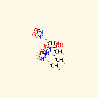 CCC(CO)(CO)CO.CCCCCC(N=C=O)N=C=O.CCCCCC(N=C=O)N=C=O.CCCCCC(N=C=O)N=C=O